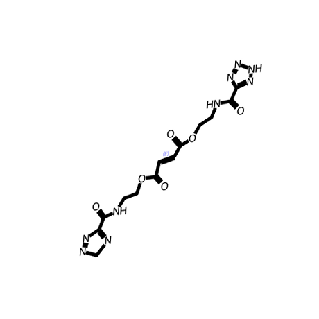 O=C(/C=C/C(=O)OCCNC(=O)c1nn[nH]n1)OCCNC(=O)C1=NCN=N1